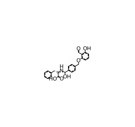 O=Cc1c(O)cccc1OCc1ccc(C(O)N[C@@H](Cc2ccccc2)C(=O)O)cc1